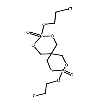 O=P1(OCCCl)OCC2(CO1)COP(=O)(OCCCl)OC2